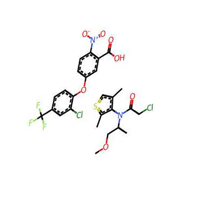 COCC(C)N(C(=O)CCl)c1c(C)csc1C.O=C(O)c1cc(Oc2ccc(C(F)(F)F)cc2Cl)ccc1[N+](=O)[O-]